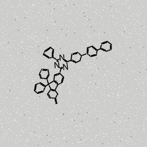 C=C1C=CC2=C(C1)c1ccc(-c3nc(C4=CCC(c5ccc(-c6ccccc6)cc5)C=C4)nc(-c4ccccc4)n3)cc1C2(c1ccccc1)c1ccccc1